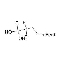 CCCCCCCC(F)(F)C(O)(O)F